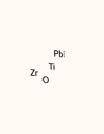 [O].[Pb].[Ti].[Zr]